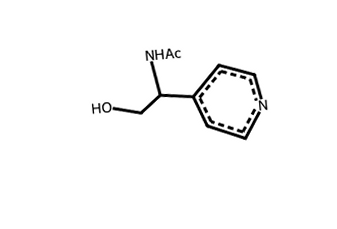 CC(=O)NC(CO)c1ccncc1